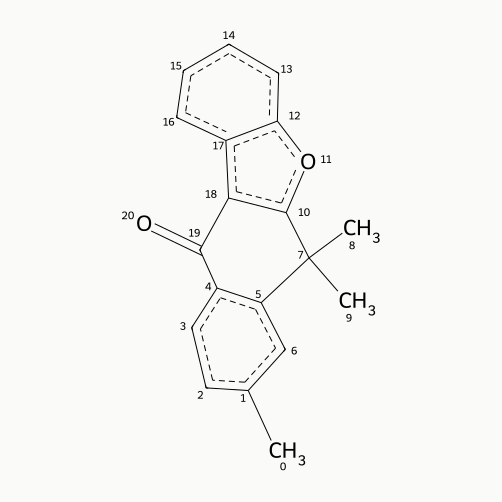 Cc1ccc2c(c1)C(C)(C)c1oc3ccccc3c1C2=O